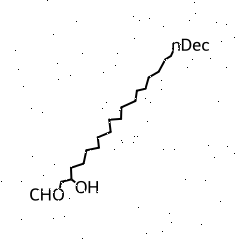 CCCCCCCCCCCCCCCCCCCCCCCCCCC(O)CC=O